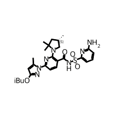 Cc1cc(OCC(C)C)nn1-c1ccc(C(=O)NS(=O)(=O)c2cccc(N)n2)c(N2C[C@@H](C)CC2(C)C)n1